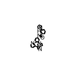 Cc1ccc(NC(=O)c2cccc(N3CCCC3)c2)cc1-n1ccc2ncc(-c3cccnc3)n21